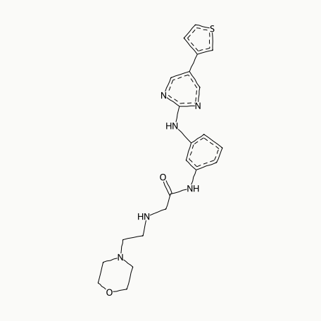 O=C(CNCCN1CCOCC1)Nc1cccc(Nc2ncc(-c3ccsc3)cn2)c1